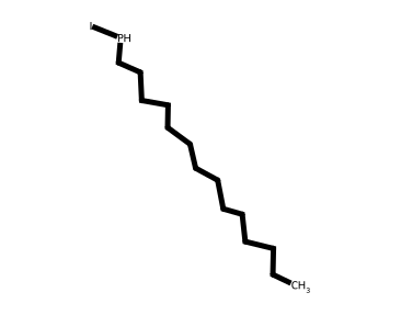 CCCCCCCCCCCCCCPI